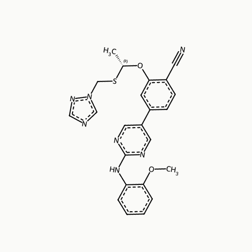 COc1ccccc1Nc1ncc(-c2ccc(C#N)c(O[C@@H](C)SCn3cncn3)c2)cn1